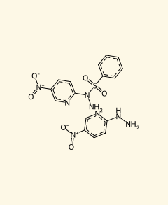 NN(c1ccc([N+](=O)[O-])cn1)S(=O)(=O)c1ccccc1.NNc1ccc([N+](=O)[O-])cn1